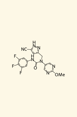 COc1ncc(N(Cc2cc(C#N)[nH]n2)C(=O)Nc2cc(F)c(F)c(F)c2)cn1